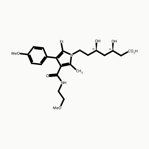 CCc1c(-c2ccc(OC)cc2)c(C(=O)NCCOC)c(C)n1CC[C@@H](O)C[C@@H](O)CC(=O)O